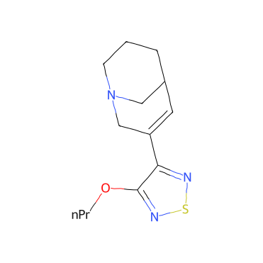 CCCOc1nsnc1C1=CC2CCCN(C1)C2